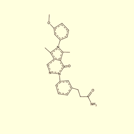 COc1cccc(-n2c(C)c3cnn(-c4cccc(CCC(N)=O)c4)c(=O)c3c2C)c1